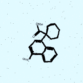 COC(=O)C1(c2ccc(C=O)c3ccccc23)CCCCC1